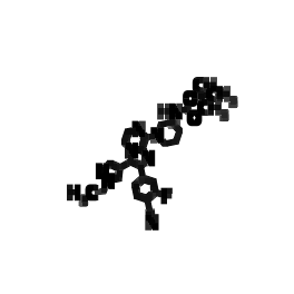 CCn1cc(-c2c(-c3ccc(C#N)c(F)c3)nc3c(N4CCC[C@@H](NC(=O)OC(C)(C)C)C4)nccn23)cn1